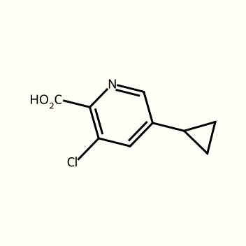 O=C(O)c1ncc(C2CC2)cc1Cl